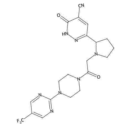 N#Cc1cc(C2CCCN2CC(=O)N2CCN(c3ncc(C(F)(F)F)cn3)CC2)n[nH]c1=O